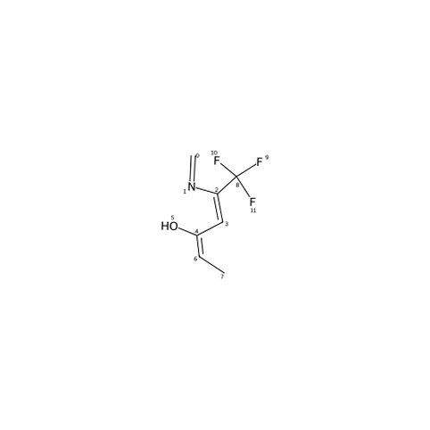 C=N/C(=C\C(O)=C/C)C(F)(F)F